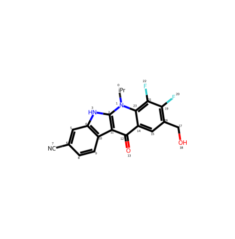 CC(C)n1c2[nH]c3cc(C#N)ccc3c2c(=O)c2cc(CO)c(F)c(F)c21